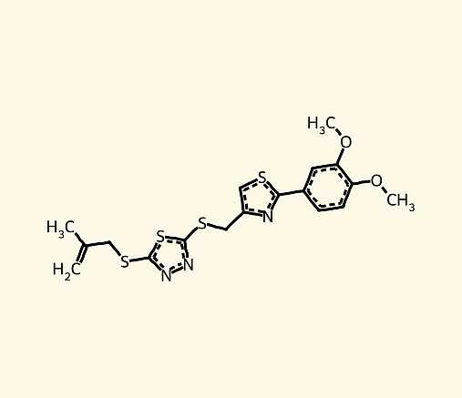 C=C(C)CSc1nnc(SCc2csc(-c3ccc(OC)c(OC)c3)n2)s1